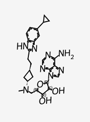 CN(C[C@H]1O[C@@H](n2cnc3c(N)ncnc32)[C@@H](O)[C@H]1O)[C@H]1C[C@H](CCc2nc3cc(C4CC4)ccc3[nH]2)C1